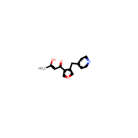 O=C(O)C(O)=CC(=O)c1cocc1Cc1ccncc1